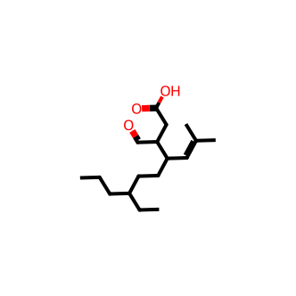 CCCC(CC)CCC(C=C(C)C)C(C=O)CC(=O)O